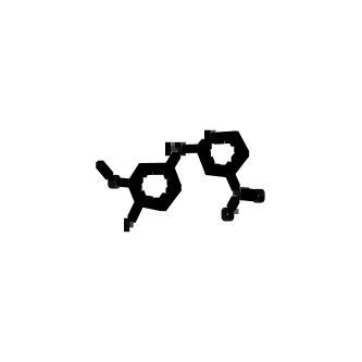 COc1cc(Nc2cc([N+](=O)[O-])ccn2)ccc1F